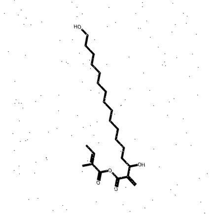 C=C(C(=O)OC(=O)C(C)=CC)C(O)CCCCCCCCCCCCCCO